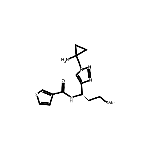 CSCC[C@H](NC(=O)c1ccsc1)c1cn(C2(N)CC2)nn1